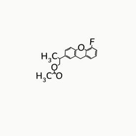 CC(=O)OCC(C)c1ccc2c(c1)Cc1cccc(F)c1O2